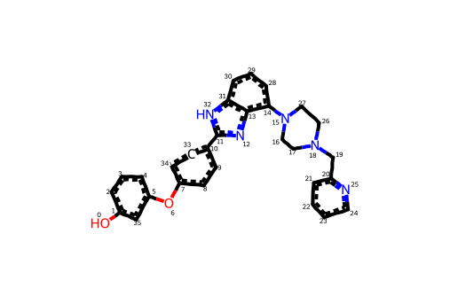 Oc1cccc(Oc2ccc(-c3nc4c(N5CCN(Cc6ccccn6)CC5)cccc4[nH]3)cc2)c1